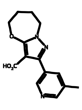 Cc1cncc(-c2nn3c(c2C(=O)O)OCCCC3)c1